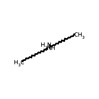 CCCCCCCCCCCCCCCCC=CNC(N)=CCCCCCCCCCCCCCCCC